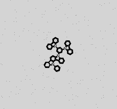 C1=CC2c3ccc4c(c3N(c3ccccc3)C2C=C1)c1ccccc1n4-c1cc(-n2c3ccccc3c3ccccc32)cc(-n2c3ccccc3c3ccccc32)c1